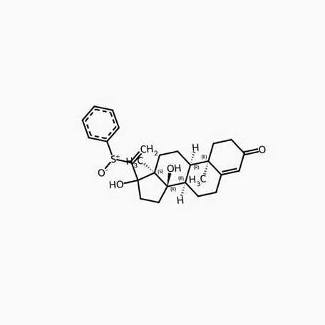 C=C([S+]([O-])c1ccccc1)C1(O)CC[C@@]2(O)[C@@H]3CCC4=CC(=O)CC[C@]4(C)[C@@H]3CC[C@]12C